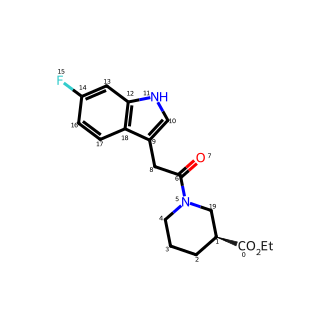 CCOC(=O)[C@H]1CCCN(C(=O)Cc2c[nH]c3cc(F)ccc23)C1